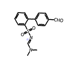 CN(C)/C=N/S(=O)(=O)c1ccccc1-c1ccc(C=O)cc1